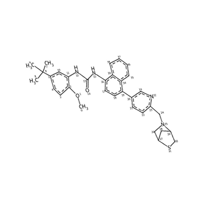 COc1ccc(C(C)(C)C)cc1NC(=O)Nc1ccc(-c2ccc(CN3CC4CC3CS4)nc2)c2ccccc12